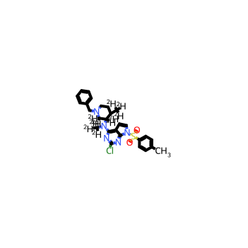 [2H]C([2H])([2H])N(c1nc(Cl)nc2c1ccn2S(=O)(=O)c1ccc(C)cc1)C1([2H])C([2H])([2H])N(Cc2ccccc2)CCC1([2H])C([2H])([2H])[2H]